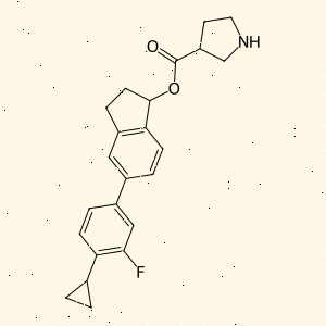 O=C(OC1CCc2cc(-c3ccc(C4CC4)c(F)c3)ccc21)C1CCNC1